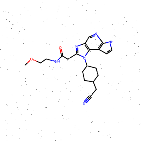 COCCNC(=O)Cc1nc2cnc3[nH]ccc3c2n1C1CCC(CC#N)CC1